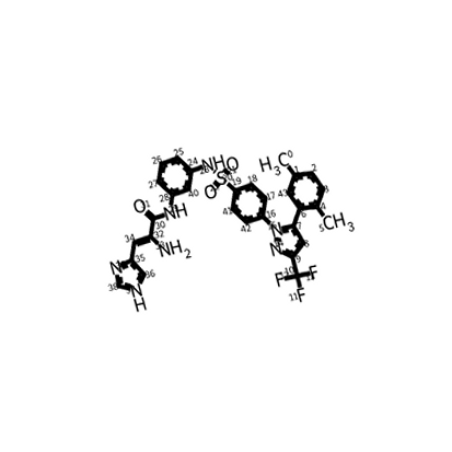 Cc1ccc(C)c(-c2cc(C(F)(F)F)nn2-c2ccc(S(=O)(=O)Nc3cccc(NC(=O)C(N)=Cc4c[nH]cn4)c3)cc2)c1